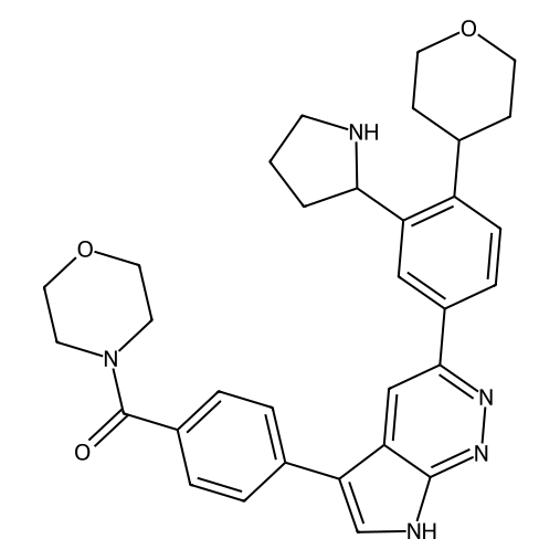 O=C(c1ccc(-c2c[nH]c3nnc(-c4ccc(C5CCOCC5)c(C5CCCN5)c4)cc23)cc1)N1CCOCC1